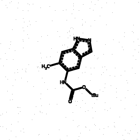 Cc1cc2[nH]ncc2cc1NC(=O)OC(C)(C)C